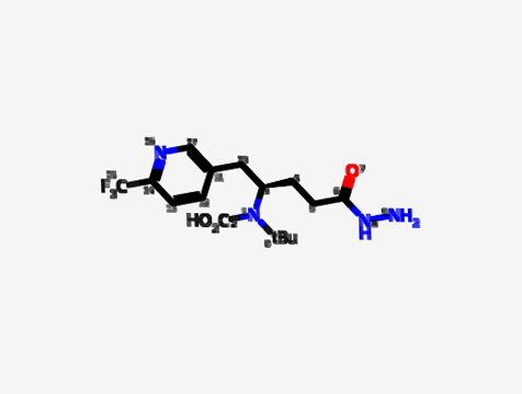 CC(C)(C)N(C(=O)O)[C@H](CCC(=O)NN)Cc1ccc(C(F)(F)F)nc1